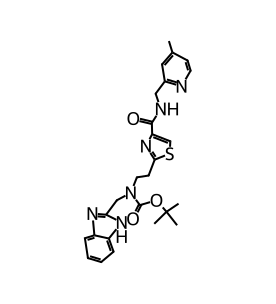 Cc1ccnc(CNC(=O)c2csc(CCN(Cc3nc4ccccc4[nH]3)C(=O)OC(C)(C)C)n2)c1